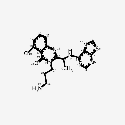 CC(Nc1ncnc2scnc12)c1nc2cccc(Cl)c2c(=O)n1CCCN